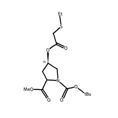 CCSCC(=O)O[C@@H]1CC(C(=O)OC)N(C(=O)OC(C)(C)C)C1